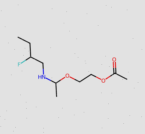 CCC(F)CNC(C)OCCOC(C)=O